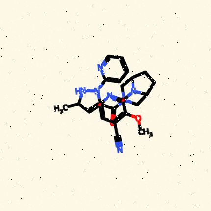 COc1c(C#N)ccnc1N1C2CCC1CN(C(=O)C1=CC(C)NN1c1ccccn1)C2